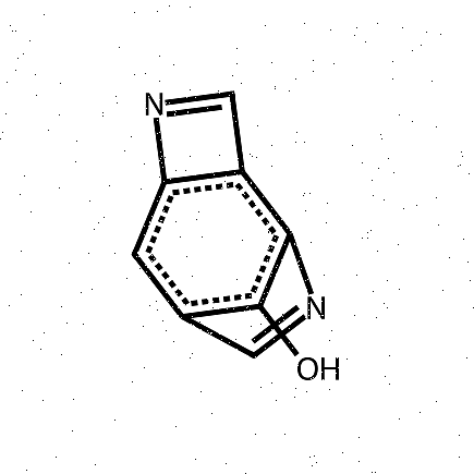 Oc1c2cc3c(c1N=C2)C=N3